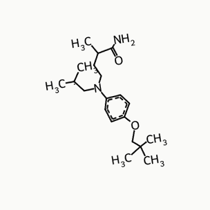 C[C](C)CN(CCC(C)C(N)=O)c1ccc(OCC(C)(C)C)cc1